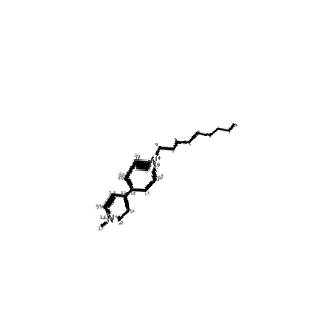 CCCCCCCCC[n+]1ccc(-c2cc[n+](C)cc2)cc1